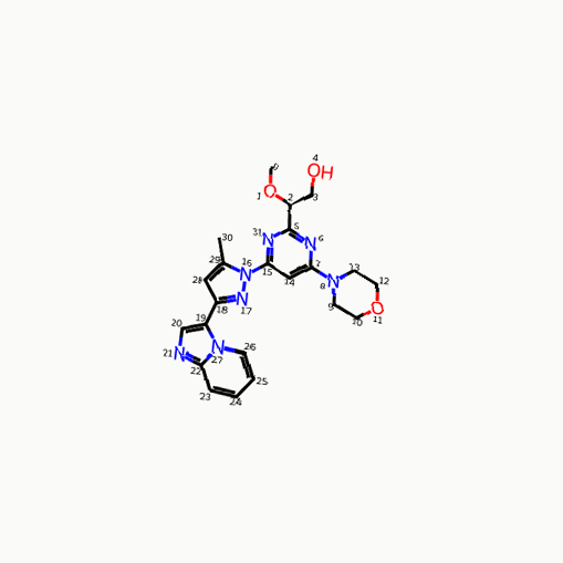 CO[C@@H](CO)c1nc(N2CCOCC2)cc(-n2nc(-c3cnc4ccccn34)cc2C)n1